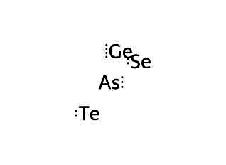 [As].[Ge].[Se].[Te]